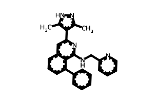 Cc1n[nH]c(C)c1-c1cc2cccc(-c3ccccc3)c2c(NCc2ccccn2)n1